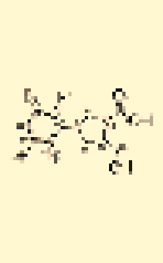 O=C(O)N1CC(c2c(F)c(F)cc(F)c2F)CC1CO